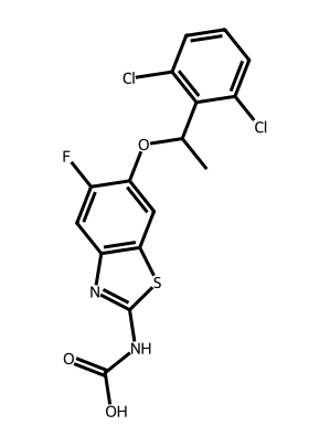 CC(Oc1cc2sc(NC(=O)O)nc2cc1F)c1c(Cl)cccc1Cl